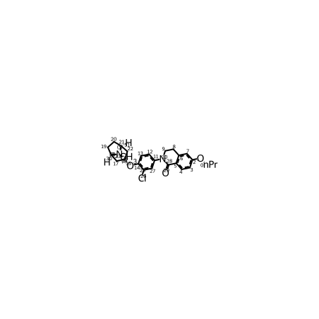 CCCOc1ccc2c(c1)CCN(c1ccc(O[C@@H]3C[C@H]4CC[C@@H](C3)N4C)c(Cl)c1)C2=O